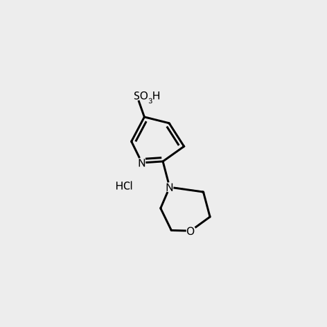 Cl.O=S(=O)(O)c1ccc(N2CCOCC2)nc1